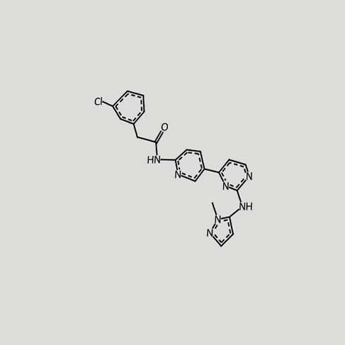 Cn1nccc1Nc1nccc(-c2ccc(NC(=O)Cc3cccc(Cl)c3)nc2)n1